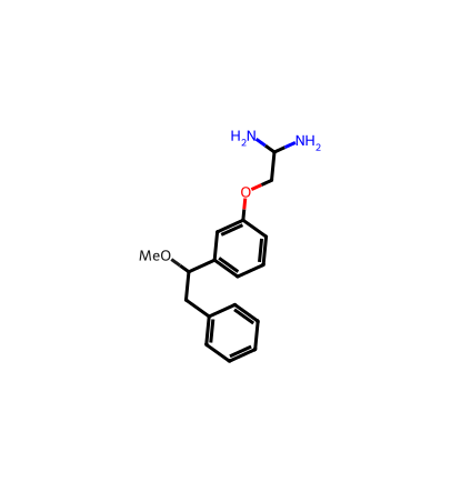 COC(Cc1ccccc1)c1cccc(OCC(N)N)c1